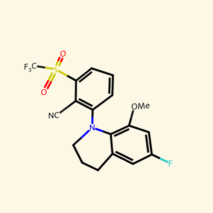 COc1cc(F)cc2c1N(c1cccc(S(=O)(=O)C(F)(F)F)c1C#N)CCC2